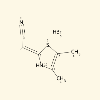 Br.CC1=C(C)SC(=CC#N)N1